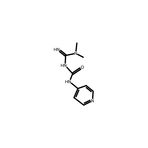 CN(C)C(=N)NC(=O)Nc1ccncc1